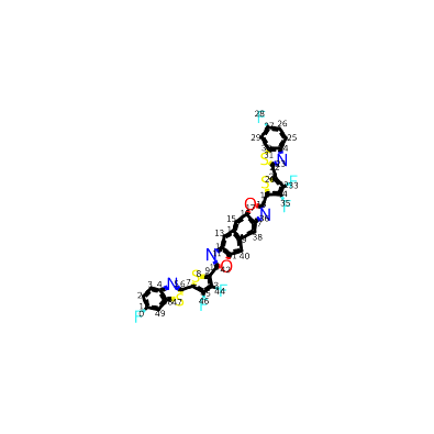 Fc1ccc2nc(-c3sc(-c4nc5cc6cc7oc(-c8sc(-c9nc%10ccc(F)cc%10s9)c(F)c8F)nc7cc6cc5o4)c(F)c3F)sc2c1